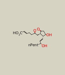 CCCCCC(O)C=C[C@H]1C(O)CC(=O)[C@@H]1CC(=O)CC/C=C/C(=O)O